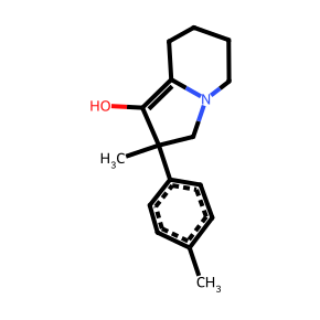 Cc1ccc(C2(C)CN3CCCCC3=C2O)cc1